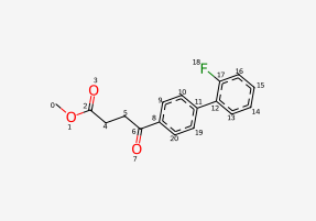 COC(=O)CCC(=O)c1ccc(-c2ccccc2F)cc1